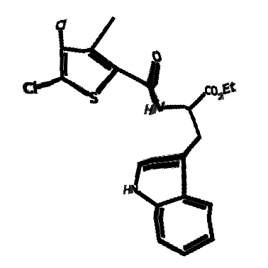 CCOC(=O)C(Cc1c[nH]c2ccccc12)NC(=O)c1sc(Cl)c(Cl)c1C